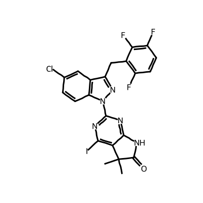 CC1(C)C(=O)Nc2nc(-n3nc(Cc4c(F)ccc(F)c4F)c4cc(Cl)ccc43)nc(I)c21